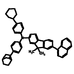 CC1(C)c2cc(-c3cccc4ccccc34)ccc2-c2ccc(N(c3ccc(C4CCCCC4)cc3)c3ccc(C4CC5CCC4CC5)cc3)cc21